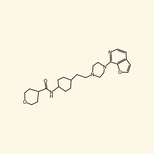 O=C(NC1CCC(CCN2CCN(c3nccc4ccoc34)CC2)CC1)C1CCOCC1